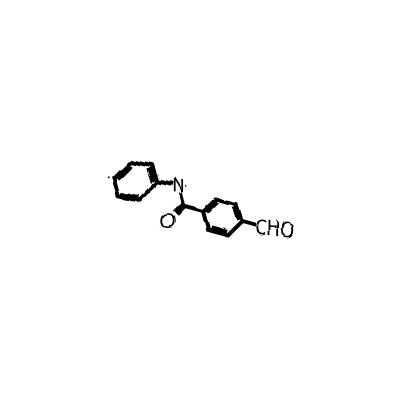 O=Cc1ccc(C(=O)[N]c2cc[c]cc2)cc1